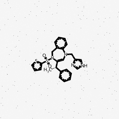 C[C@H](C1=CN(Cc2c[nH]cn2)c2ccccc2CN1S(=O)(=O)c1cccs1)c1ccccc1